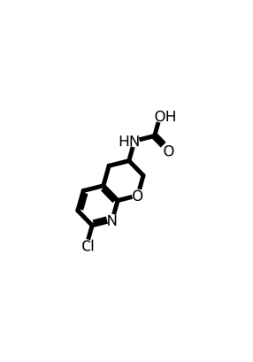 O=C(O)NC1COc2nc(Cl)ccc2C1